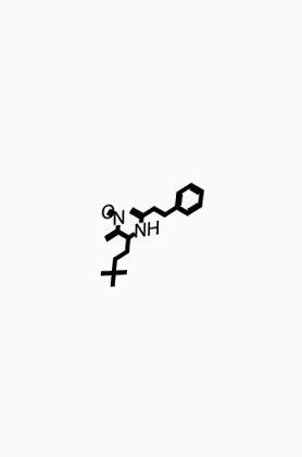 C=C(CCc1ccccc1)NC(CCC(C)(C)C)C(=C)N=O